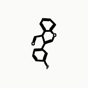 O=CC1C(c2cccc(F)c2)=COc2ccccc21